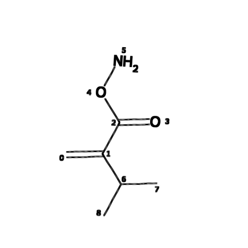 C=C(C(=O)ON)C(C)C